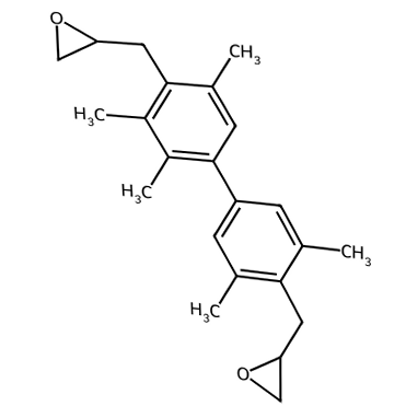 Cc1cc(-c2cc(C)c(CC3CO3)c(C)c2C)cc(C)c1CC1CO1